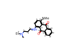 CCN(C)CCCNc1ccc(NC)c2c1C(=O)c1ccccc1C2=O